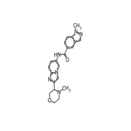 CN1CCOCC1c1cn2cc(NC(=O)c3ccc4c(cnn4C)c3)ccc2n1